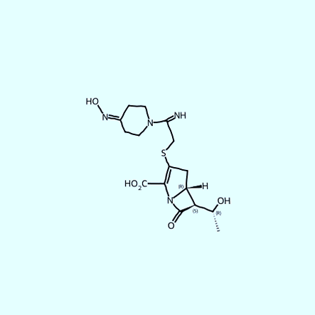 C[C@@H](O)[C@H]1C(=O)N2C(C(=O)O)=C(SCC(=N)N3CCC(=NO)CC3)C[C@H]12